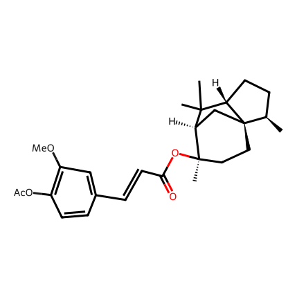 COc1cc(/C=C/C(=O)O[C@]2(C)CC[C@@]34C[C@@H]2C(C)(C)[C@@H]3CC[C@H]4C)ccc1OC(C)=O